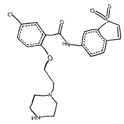 O=C(Nc1ccc2c(c1)S(=O)(=O)C=C2)c1cc(Cl)ccc1OCCN1CCNCC1